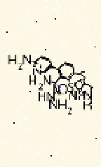 NN/N=C(\N)c1c(-c2ccc(N)nc2)ccc(SC2CNC2)c1S(N)(=O)=O